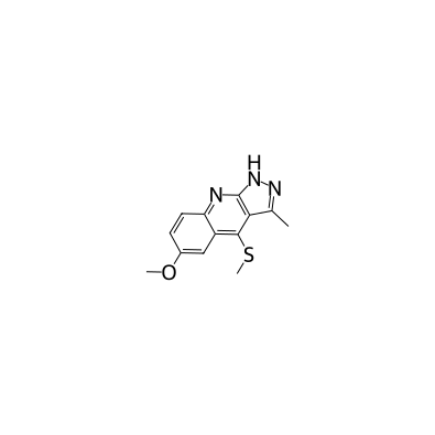 COc1ccc2nc3[nH]nc(C)c3c(SC)c2c1